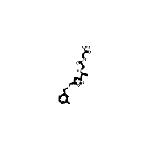 C=C(NCC(=O)NCC(=O)OC)c1cc(COCc2cccc(C)c2)on1